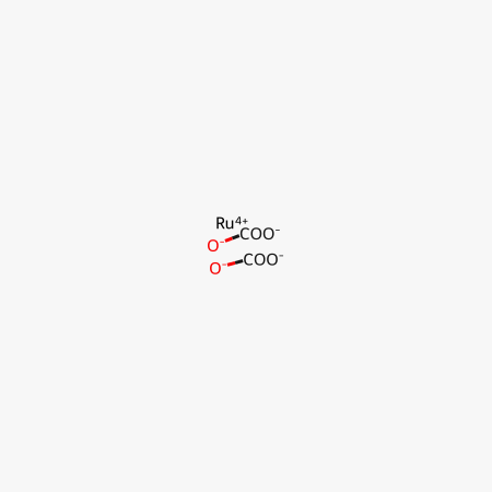 O=C([O-])[O-].O=C([O-])[O-].[Ru+4]